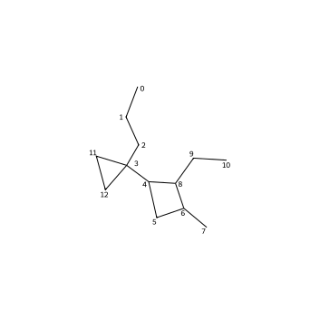 CCCC1(C2CC(C)C2CC)CC1